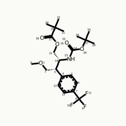 COC[C@@H](c1ccc(C(F)(F)F)cc1)[C@H](COC(=O)C(C)(C)C)NC(=O)OC(C)(C)C